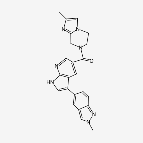 Cc1cn2c(n1)CN(C(=O)c1cnc3[nH]cc(-c4ccc5nn(C)cc5c4)c3c1)CC2